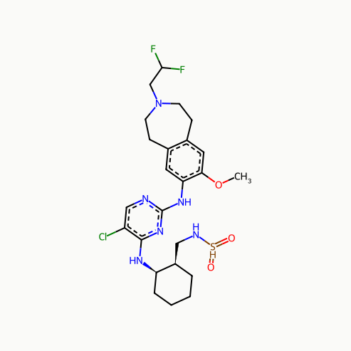 COc1cc2c(cc1Nc1ncc(Cl)c(N[C@@H]3CCCC[C@@H]3CN[SH](=O)=O)n1)CCN(CC(F)F)CC2